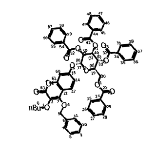 CCCCOc1c(OCc2ccccc2)c2ccc(O[C@H]3O[C@H](COC(=O)c4ccccc4)[C@@H](OC(=O)c4ccccc4)[C@H](OC(=O)c4ccccc4)[C@@H]3OC(=O)c3ccccc3)cc2oc1=O